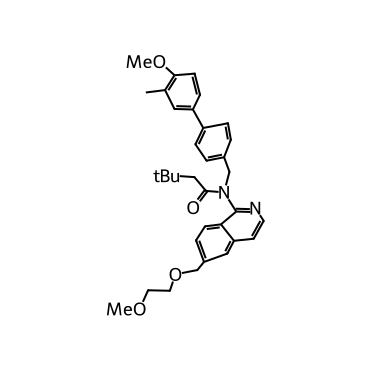 COCCOCc1ccc2c(N(Cc3ccc(-c4ccc(OC)c(C)c4)cc3)C(=O)CC(C)(C)C)nccc2c1